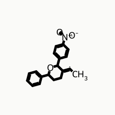 C/[C]=C1\CCC(c2ccccc2)OC1c1ccc([N+](=O)[O-])cc1